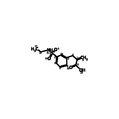 C=C(Cc1cccc(S(=O)(=O)NCC)c1)C(=O)O